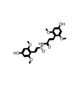 COc1cc(O)cc(OC)c1/C=C/C(=O)N[S+]([O-])/C=C/c1c(OC)cc(O)cc1OC